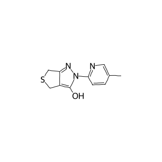 Cc1ccc(-n2nc3c(c2O)CSC3)nc1